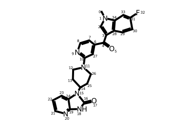 Cn1cc(C(=O)c2ccnc(N3CCC(n4c(=O)[nH]c5ncccc54)CC3)c2)c2ccc(F)cc21